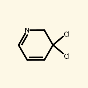 ClC1(Cl)C=CC=NC1